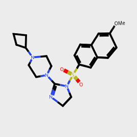 COc1ccc2cc(S(=O)(=O)N3CCN=C3N3CCN(C4CCC4)CC3)ccc2c1